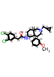 COc1cccc([C@@]23CCN(CC4CC4)C[C@H]2CC[C@H](NC(=O)Cc2ccc(Cl)c(Cl)c2)C3)c1